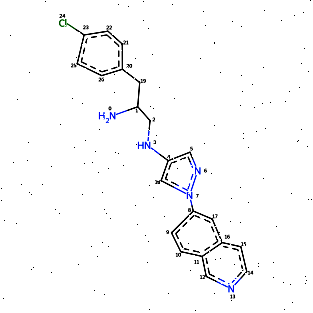 NC(CNc1cnn(-c2ccc3cnccc3c2)c1)Cc1ccc(Cl)cc1